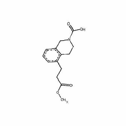 COC(=O)CCc1cccc2c1CCN(C(=O)O)C2